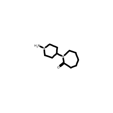 NN1CCC(N2CCCCCC2=O)CC1